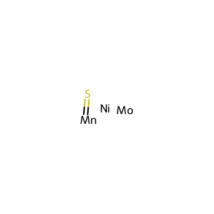 [Mo].[Ni].[S]=[Mn]